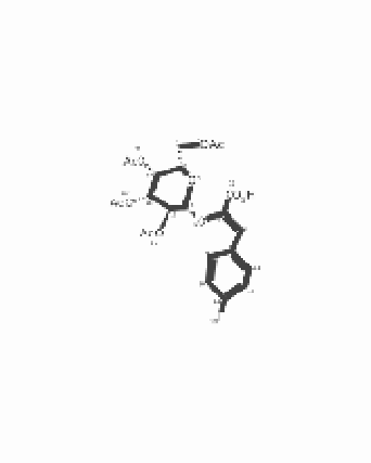 CC(=O)OC[C@@H]1O[C@H](O/C(=C\c2ccc(I)cc2)C(=O)O)[C@@H](OC(C)=O)[C@H](OC(C)=O)[C@@H]1OC(C)=O